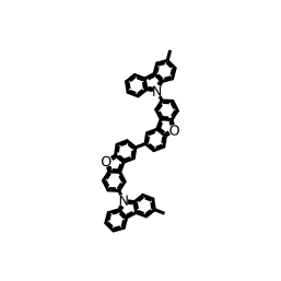 Cc1ccc2c(c1)c1ccccc1n2-c1ccc2oc3ccc(-c4ccc5oc6ccc(-n7c8ccccc8c8cc(C)ccc87)cc6c5c4)cc3c2c1